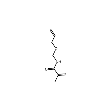 C=CCOCNC(=O)C(=C)C